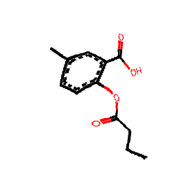 CCCC(=O)Oc1ccc(C)cc1C(=O)O